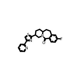 O=C1c2ccc(F)cc2CCC2CCC(c3nc(-c4ccccn4)cs3)CN12